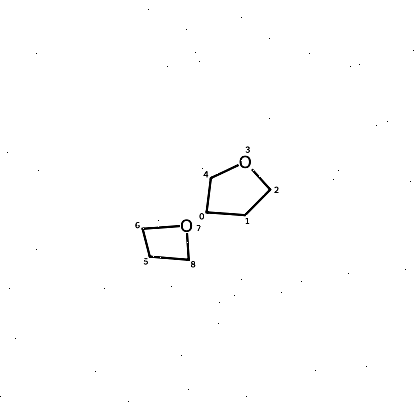 C1CCOC1.C1COC1